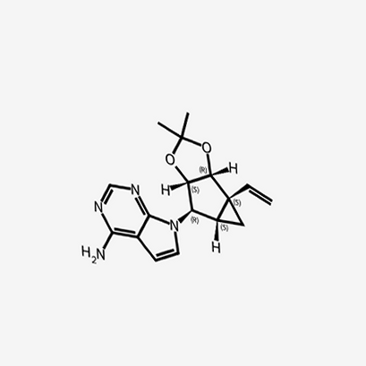 C=C[C@@]12C[C@@H]1[C@@H](n1ccc3c(N)ncnc31)[C@@H]1OC(C)(C)O[C@@H]12